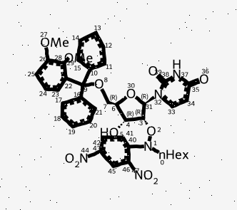 CCCCCCN(O[C@@H]1[C@H](O)[C@@H](COC(c2ccccc2)(c2ccccc2)c2cccc(OC)c2OC)O[C@H]1n1ccc(=O)[nH]c1=O)c1ccc([N+](=O)[O-])cc1[N+](=O)[O-]